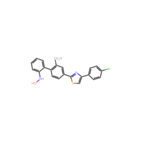 O=C(O)c1cc(-c2nc(-c3ccc(Br)cc3)cs2)ccc1-c1ccccc1NO